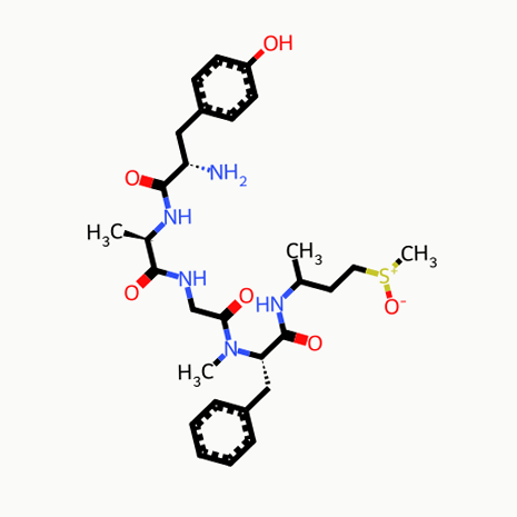 CC(CC[S+](C)[O-])NC(=O)[C@H](Cc1ccccc1)N(C)C(=O)CNC(=O)[C@@H](C)NC(=O)[C@@H](N)Cc1ccc(O)cc1